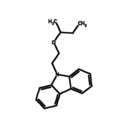 CCC(C)OCCn1c2ccccc2c2ccccc21